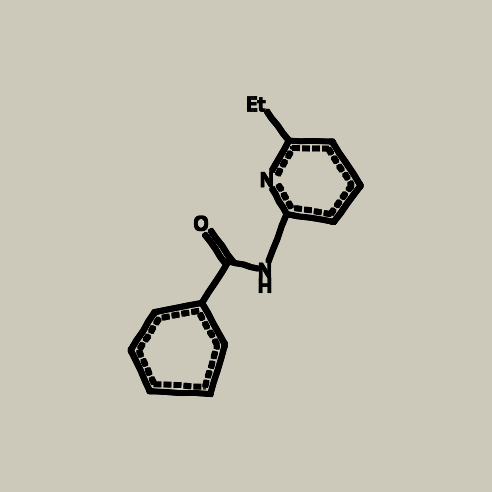 CCc1cccc(NC(=O)c2ccccc2)n1